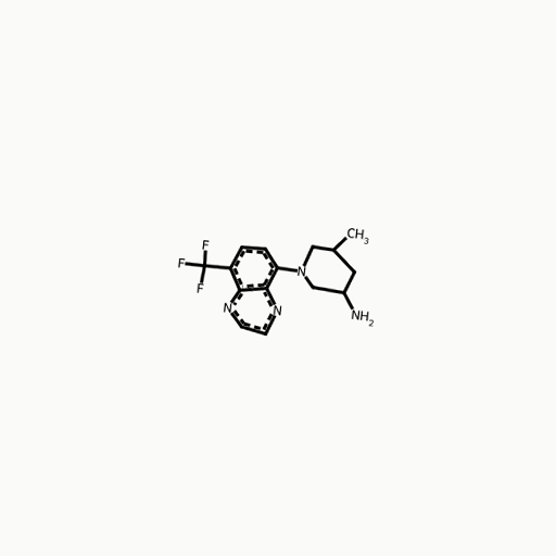 CC1CC(N)CN(c2ccc(C(F)(F)F)c3nccnc23)C1